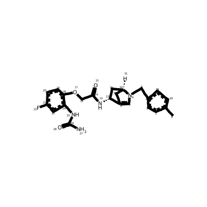 Cc1ccc(CN2C=C3C[C@H]2C[C@H]3NC(=O)COc2ccc(F)cc2NC(N)=O)cc1